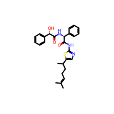 CC(C)=CCCC(C)c1cnc(NC(=O)[C@@H](NC(=O)[C@@H](O)c2ccccc2)c2ccccc2)s1